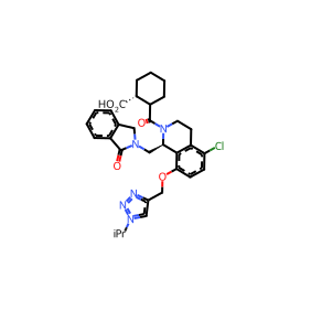 CC(C)n1cc(COc2ccc(Cl)c3c2[C@@H](CN2Cc4ccccc4C2=O)N(C(=O)C2CCCC[C@H]2C(=O)O)CC3)nn1